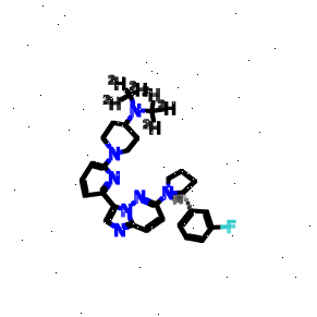 [2H]C([2H])([2H])N(C1CCN(c2cccc(-c3cnc4ccc(N5CCC[C@@H]5c5cccc(F)c5)nn34)n2)CC1)C([2H])([2H])[2H]